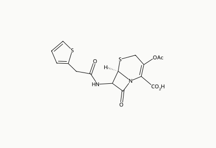 CC(=O)OC1=C(C(=O)O)N2C(=O)C(NC(=O)Cc3cccs3)[C@H]2SC1